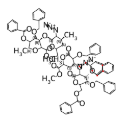 CCC1O[C@@H](O[C@H]2C(C(=O)OC)O[C@H](C)C(OC(=O)c3ccccc3)[C@H]2OCc2ccccc2)C(N=[N+]=[N-])[C@@H](C)[C@@H]1O[C@@H]1OC(C(=O)OC)[C@@H](O[C@H]2OC(COC(=O)c3ccccc3)[C@@H](OCc3ccccc3)[C@@H](OCc3ccccc3)C2N=[N+]=[N-])[C@@H](OCc2ccccc2)C1OCc1ccccc1